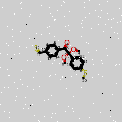 COC(OC)(C(=O)c1ccc(C=S)cc1)c1ccc(SC)cc1